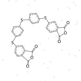 O=C1OC(=O)c2cc(Sc3ccc(Sc4ccc(Sc5ccc6c(c5)C(=O)OC6=O)cc4)cc3)ccc21